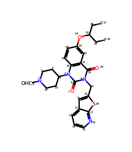 O=CN1CCC(n2c(=O)n(Cc3cc4cccnc4s3)c(=O)c3cc(OC(CF)CF)ccc32)CC1